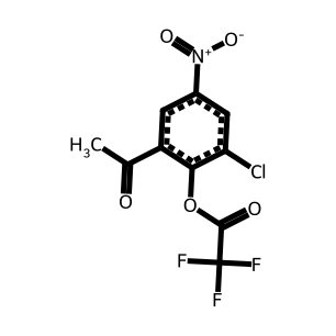 CC(=O)c1cc([N+](=O)[O-])cc(Cl)c1OC(=O)C(F)(F)F